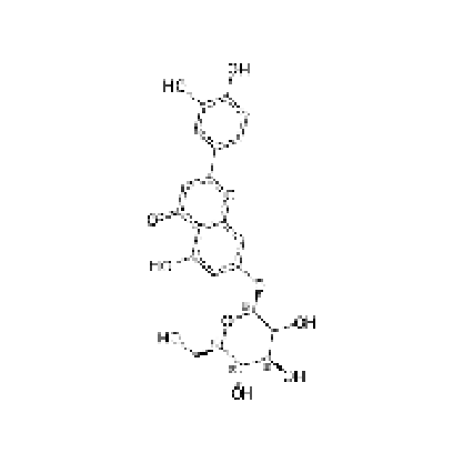 O=c1cc(-c2ccc(O)c(O)c2)oc2cc(O[C@@H]3O[C@H](CO)[C@@H](O)[C@H](O)C3O)cc(O)c12